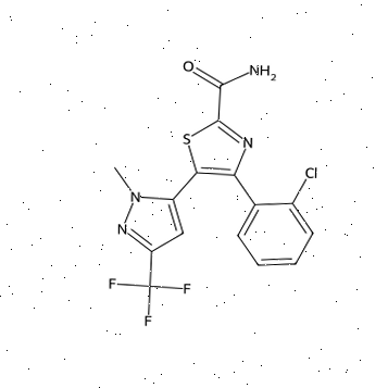 Cn1nc(C(F)(F)F)cc1-c1sc(C(N)=O)nc1-c1ccccc1Cl